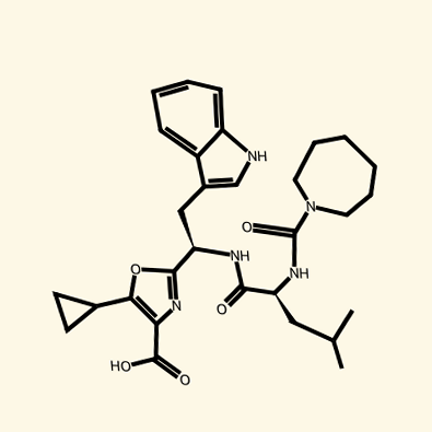 CC(C)C[C@H](NC(=O)N1CCCCCC1)C(=O)N[C@H](Cc1c[nH]c2ccccc12)c1nc(C(=O)O)c(C2CC2)o1